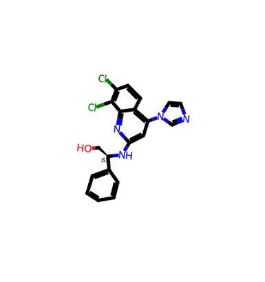 OC[C@@H](Nc1cc(-n2ccnc2)c2ccc(Cl)c(Cl)c2n1)c1ccccc1